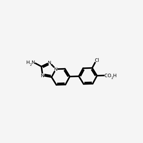 Nc1nc2ccc(-c3ccc(C(=O)O)c(Cl)c3)cn2n1